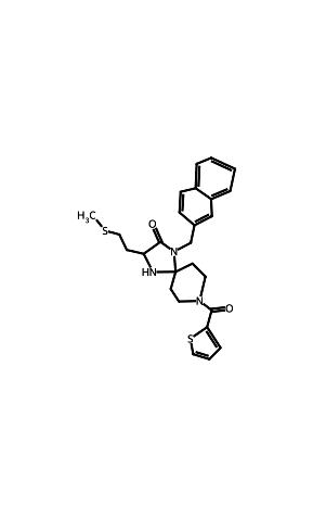 CSCCC1NC2(CCN(C(=O)c3cccs3)CC2)N(Cc2ccc3ccccc3c2)C1=O